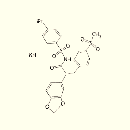 CC(C)c1ccc(S(=O)(=O)NC(=O)C(Cc2ccc(S(C)(=O)=O)cc2)c2ccc3c(c2)OCO3)cc1.[KH]